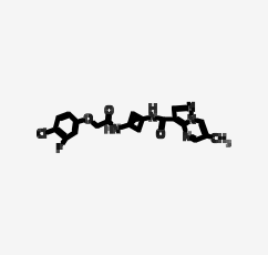 Cc1cnc2c(C(=O)NC34CC(NC(=O)COc5ccc(Cl)c(F)c5)(C3)C4)cnn2c1